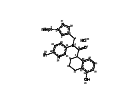 CCCCCCCn1cc(CN(C(=O)C2CCCc3c(O)cccc32)c2ccc(C(C)C)nc2)cn1.Cl